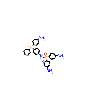 CP(=O)(c1ccc(N)cc1)c1ccc(N)cc1.Nc1ccc(P(=O)(c2ccccc2)c2ccc(N)cc2)cc1